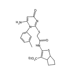 CCOC(=O)C1=C(NC(=O)CSc2nc(=O)cc(N)n2-c2cccc(C)c2)SC2CCCC12